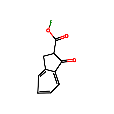 O=C(OF)C1Cc2ccccc2C1=O